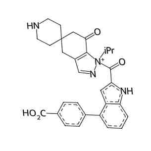 CC(C)[N+]1(C(=O)c2cc3c(-c4ccc(C(=O)O)cc4)cccc3[nH]2)N=CC2=C1C(=O)CC1(CCNCC1)C2